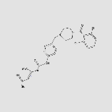 CN/C(=C\C(=N)C(C)(C)C)NC(=O)Nc1ccc(CN2CCN(C(=O)c3c(Cl)cccc3Cl)CC2)cc1